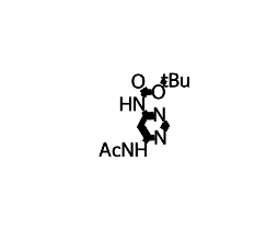 CC(=O)Nc1cc(NC(=O)OC(C)(C)C)ncn1